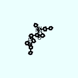 c1ccc(-c2ccc(-c3nc(-c4ccccc4)nc(-c4cc(-c5cccc6oc7c(-n8c9ccccc9c9cc(-c%10ccccc%10)ccc98)cccc7c56)cc5oc6ccccc6c45)n3)cc2)cc1